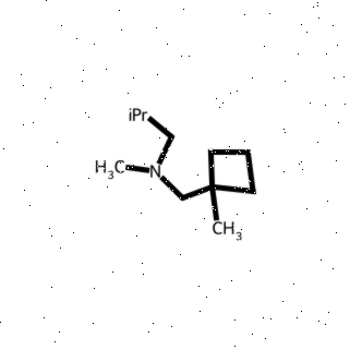 CC(C)CN(C)CC1(C)CCC1